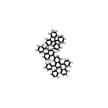 c1ccc(-c2c(-c3ccccc3)c(-c3ccccc3)c3cc(-c4ccc(N(c5ccccc5)c5ccc6c(c5)C(c5ccccc5)(c5ccccc5)c5ccccc5-6)c5ccccc45)ccc3c2-c2ccccc2)cc1